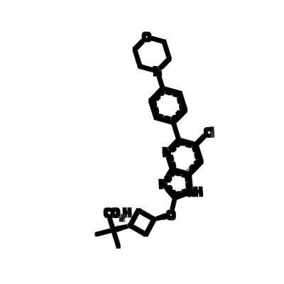 CC(C)(C(=O)O)[C@H]1C[C@@H](Oc2nc3nc(-c4ccc(N5CCOCC5)cc4)c(Cl)cc3[nH]2)C1